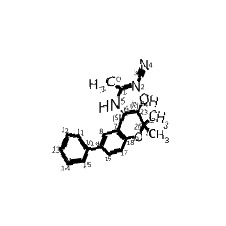 CC(=NC#N)N[C@H]1c2cc(-c3ccccc3)ccc2OC(C)(C)[C@@H]1O